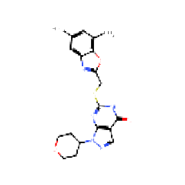 Cc1cc(C)c2oc(CSc3nc4c(cnn4C4CCOCC4)c(=O)[nH]3)nc2c1